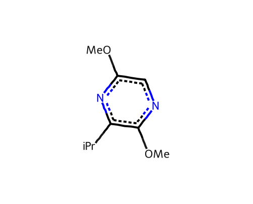 COc1cnc(OC)c(C(C)C)n1